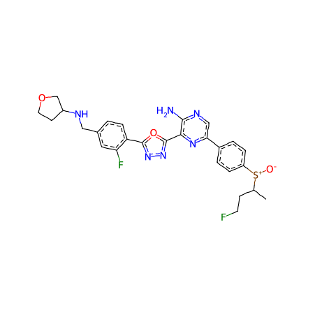 CC(CCF)[S+]([O-])c1ccc(-c2cnc(N)c(-c3nnc(-c4ccc(CNC5CCOC5)cc4F)o3)n2)cc1